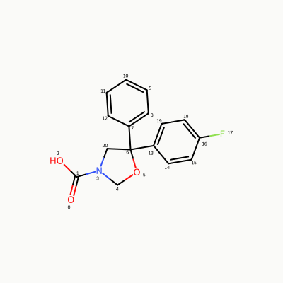 O=C(O)N1COC(c2ccccc2)(c2ccc(F)cc2)C1